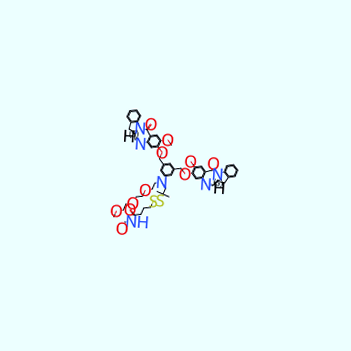 COCCOCCOCCN(CC(C)(C)SSCCCC(=O)NC=O)c1cc(COc2cc3c(cc2OC)C(=O)N2c4ccccc4C[C@H]2C=N3)cc(COc2cc3c(cc2OC)C(=O)N2c4ccccc4C[C@H]2C=N3)c1